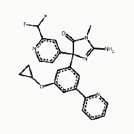 CN1C(=O)C(c2cc(OC3CC3)cc(-c3ccccn3)c2)(c2ccnc(C(F)F)c2)N=C1N